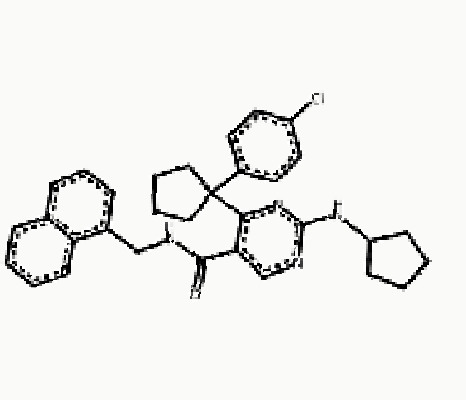 O=C(NCc1cccc2ccccc12)c1cnc(NC2CCCC2)nc1C1(c2ccc(Cl)cc2)CCCC1